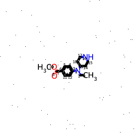 CCN(c1ccc(C(=O)OC)cc1)C1CCNCC1